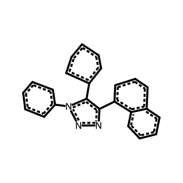 c1ccc(-c2c(-c3cccc4ccccc34)nnn2-c2ccccc2)cc1